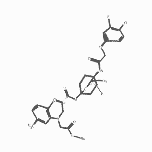 Cc1ccc2c(c1)N(CC(=O)OC(C)(C)C)C[C@@H](C(=O)NC13CCC(NC(=O)COc4ccc(Cl)c(F)c4)(CC1)[C@@H](O)C3)O2